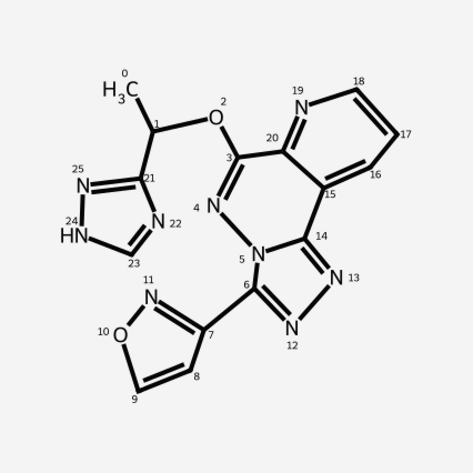 CC(Oc1nn2c(-c3ccon3)nnc2c2cccnc12)c1nc[nH]n1